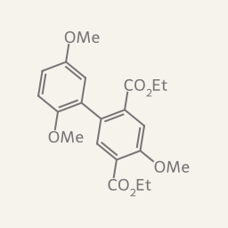 CCOC(=O)c1cc(-c2cc(OC)ccc2OC)c(C(=O)OCC)cc1OC